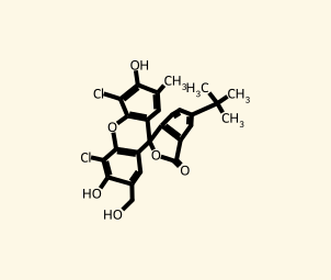 Cc1cc2c(c(Cl)c1O)Oc1c(cc(CO)c(O)c1Cl)C21OC(=O)c2cc(C(C)(C)C)ccc21